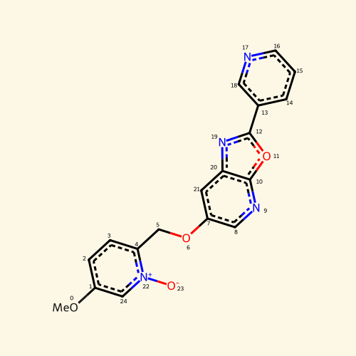 COc1ccc(COc2cnc3oc(-c4cccnc4)nc3c2)[n+]([O-])c1